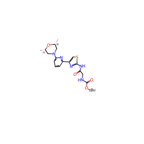 C[C@@H]1CN(c2cccc(-c3csc(NC(=O)CNC(=O)OC(C)(C)C)n3)n2)C[C@H](C)O1